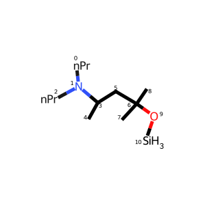 CCCN(CCC)C(C)CC(C)(C)O[SiH3]